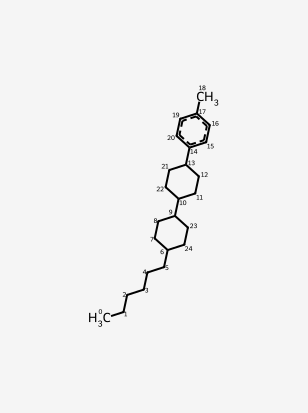 CCCCCCC1CCC(C2CCC(c3ccc(C)cc3)CC2)CC1